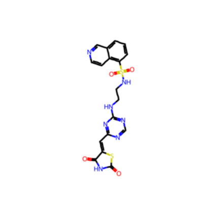 O=C1NC(=O)/C(=C/c2ncnc(NCCNS(=O)(=O)c3cccc4cnccc34)n2)S1